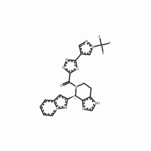 O=C(c1nnc(-c2cnn(C(F)(F)F)c2)o1)N1CCc2[nH]cnc2[C@H]1c1cc2ccccn2n1